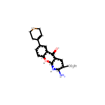 CCOC(=O)c1cc2c(=O)c3cc(C4=CCSCC4)ccc3oc2nc1N